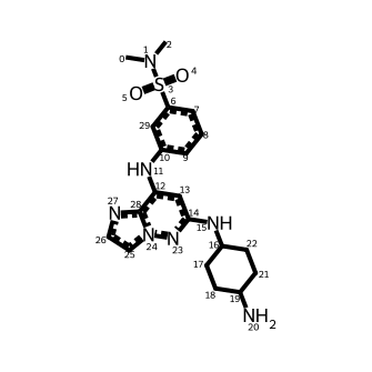 CN(C)S(=O)(=O)c1cccc(Nc2cc(NC3CCC(N)CC3)nn3ccnc23)c1